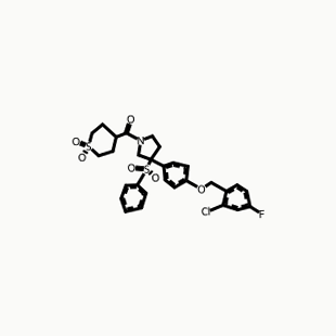 O=C(C1CCS(=O)(=O)CC1)N1CCC(c2ccc(OCc3ccc(F)cc3Cl)cc2)(S(=O)(=O)c2ccccc2)C1